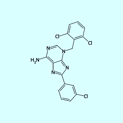 Nc1ncn(Cc2c(Cl)cccc2Cl)c2nc(-c3cccc(Cl)c3)nc1-2